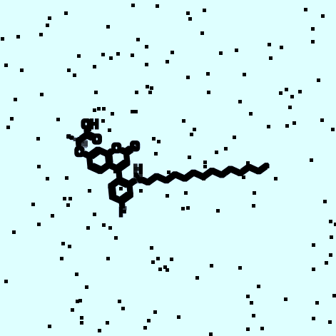 CCCCCCCCCCCCCCNc1cc(F)ccc1-c1cc(=O)oc2cc(O[C@H](C)C(=O)O)ccc12